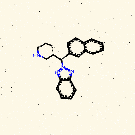 c1ccc2cc([C@H]([C@H]3CCCNC3)n3nc4ccccc4n3)ccc2c1